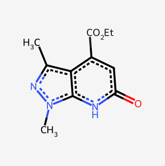 CCOC(=O)c1cc(=O)[nH]c2c1c(C)nn2C